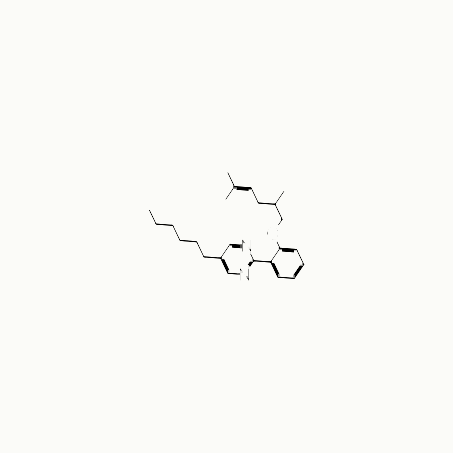 CCCCCCc1cnc(-c2ccccc2OCC(C)CC=C(C)C)nc1